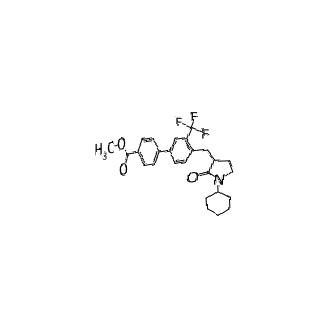 COC(=O)c1ccc(-c2ccc(CC3CCN(C4CCCCC4)C3=O)c(C(F)(F)F)c2)cc1